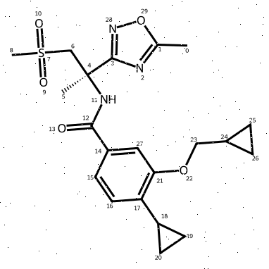 Cc1nc([C@](C)(CS(C)(=O)=O)NC(=O)c2ccc(C3CC3)c(OCC3CC3)c2)no1